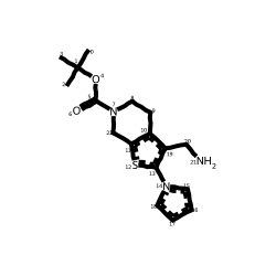 CC(C)(C)OC(=O)N1CCc2c(sc(-n3cccc3)c2CN)C1